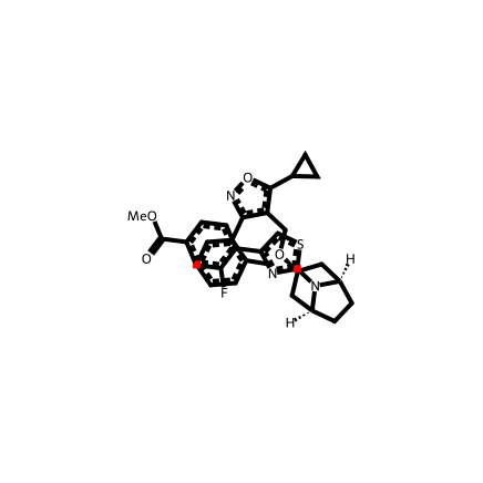 COC(=O)c1ccc(-c2csc(N3[C@@H]4CC[C@H]3C[C@@H](OCc3c(-c5ccccc5C)noc3C3CC3)C4)n2)c(F)c1